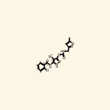 Cc1cc(CNC(=O)Oc2n[nH]c(NC(=O)c3ccccc3Cl)c2Br)no1